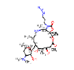 CC[C@H]1OC(=O)[C@H](C)C(=O)[C@@H](C)[C@@H](O[C@@H]2OC(C)CC(N(C)C)C2O)[C@](C)(OC)C[C@@H](C)CN[C@H](C)[C@H]2N(CCCN=[N+]=[N-])C(=O)O[C@]12C